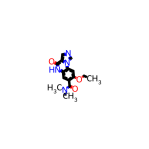 CCOc1cc2c(cc1C(=O)N(C)C)[nH]c(=O)c1cncn12